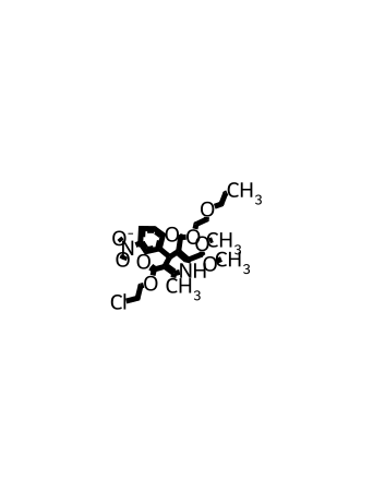 CCCOCCOC(=O)C1=C(C(OC)OC)NC(C)=C(C(=O)OCCCl)C1c1cccc([N+](=O)[O-])c1